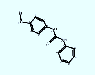 CCOc1ccc(NC(=S)Nc2ccccc2)cc1